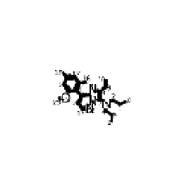 CCCN(CCC)c1c(CC)nc2c(-c3c(C)cc(C)cc3OC)ccnn12